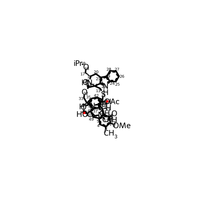 COc1c(C)cc2c(c1O)[C@H]1[C@@H]3[C@@H]4SC[C@]5(N[C@@H](COC(C)C)Cc6c5[nH]c5ccccc65)C(=O)OC[C@@H](c5c6c(c(C)c(OC(C)=O)c54)OCO6)N3C(O)(C2)CN1C